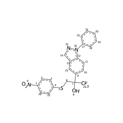 O=[N+]([O-])c1ccc(SCC(O)(c2ccc3c(cnn3-c3ccccc3)c2)C(F)(F)F)cc1